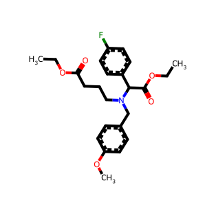 CCOC(=O)CCCN(Cc1ccc(OC)cc1)C(C(=O)OCC)c1ccc(F)cc1